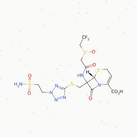 NS(=O)(=O)CCn1nnc(SCC2(NC(=O)C[S+]([O-])CC(F)(F)F)C(=O)N3C(C(=O)O)=CCS[C@H]32)n1